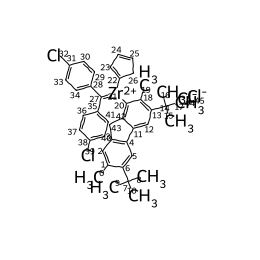 Cc1cc2c(cc1C(C)(C)C)-c1cc(C(C)(C)C)c(C)[c]([Zr+2]([C]3=CC=CC3)=[C](c3ccc(Cl)cc3)c3ccc(Cl)cc3)c1C2.[Cl-].[Cl-]